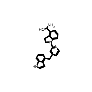 NC(O)c1cccc2c1CCN2c1cc(Cc2cccc3[nH]ccc23)ccn1